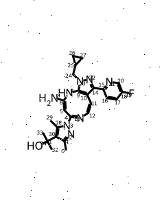 Cc1nn(-c2cc(N)[nH]c3c(ccn2)c(-c2ccc(F)cn2)nn3CC2CC2)c(C)c1C(C)(C)O